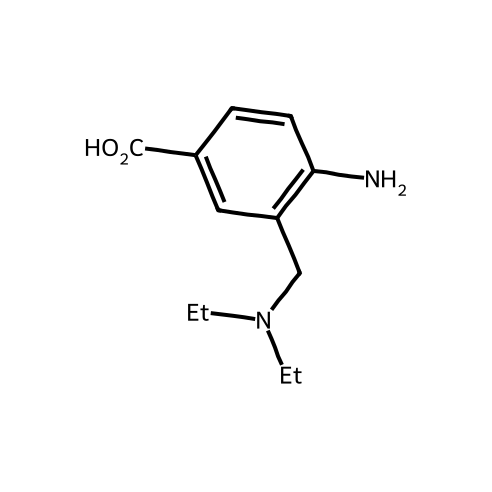 CCN(CC)Cc1cc(C(=O)O)ccc1N